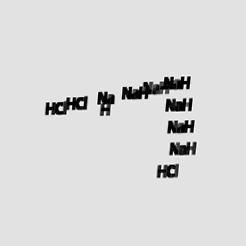 Cl.Cl.Cl.[NaH].[NaH].[NaH].[NaH].[NaH].[NaH].[NaH]